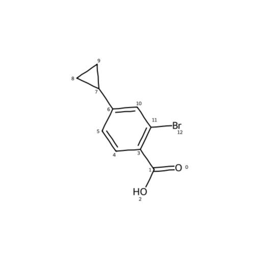 O=C(O)c1ccc(C2CC2)cc1Br